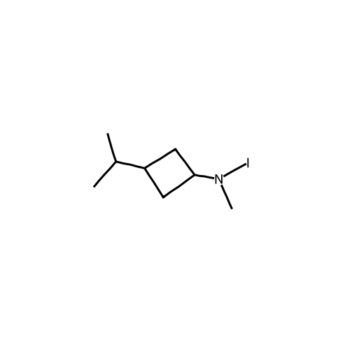 CC(C)C1CC(N(C)I)C1